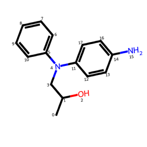 CC(O)CN(c1ccccc1)c1ccc(N)cc1